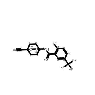 N#CC12CCC(NC(=O)c3cc(C(F)(F)F)ccc3I)(CC1)CC2